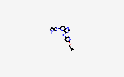 c1nc(Nc2ccc(OCC3CC3)nc2)c2nc(N3CC4(CCN4)C3)ccc2n1